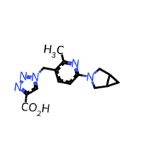 Cc1nc(N2CC3CC3C2)ccc1Cn1cc(C(=O)O)nn1